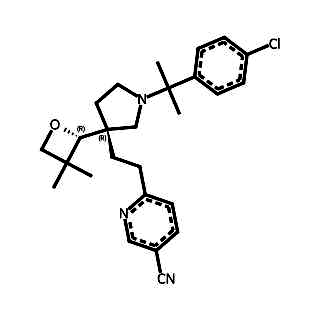 CC1(C)CO[C@@H]1[C@]1(CCc2ccc(C#N)cn2)CCN(C(C)(C)c2ccc(Cl)cc2)C1